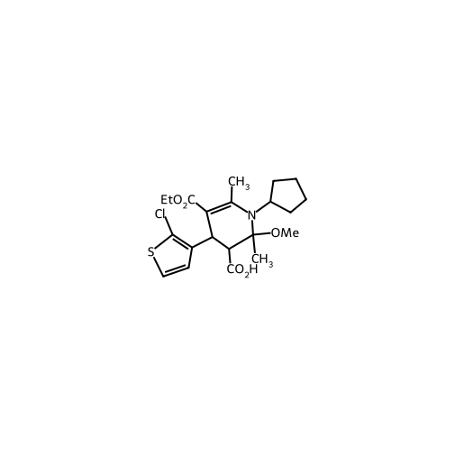 CCOC(=O)C1=C(C)N(C2CCCC2)C(C)(OC)C(C(=O)O)C1c1ccsc1Cl